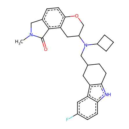 CN1Cc2ccc3c(c2C1=O)CC(N(CC1CCc2[nH]c4ccc(F)cc4c2C1)C1CCC1)CO3